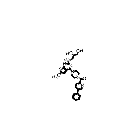 Cc1cc2c(N3CCN(C(=O)c4ccc(-c5ccccc5)cn4)CC3)nc(NC[C@H](O)CO)nc2s1